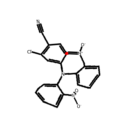 N#Cc1ccc(N(c2ccccc2[N+](=O)[O-])c2ccccc2[N+](=O)[O-])cc1Cl